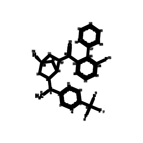 CN(c1cnc(C(F)(F)F)cn1)C1C[C@H]2CC1N(C(=O)c1cccc(F)c1-c1ncccn1)C2